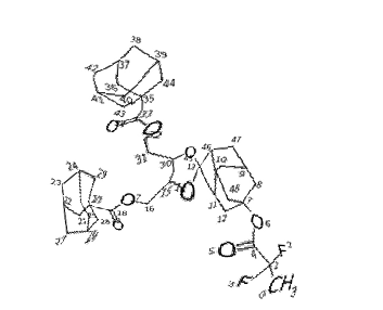 CC(F)(F)C(=O)OC12CC3CC(C1)C1(OC(COC(=O)C45CC6CC(CC(C6)C4)C5)C(COC(=O)C45CC6CC(CC(C6)C4)C5)O1)C(C3)C2